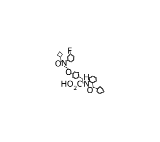 O=C(c1ccccc1)c1ccccc1NC(Cc1ccc(OCCN(C(=O)C2CCC2)c2cccc(F)c2)cc1)C(=O)O